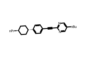 CCCCc1cnc(C#Cc2ccc([C@H]3CC[C@H](CCC)CC3)cc2)nc1